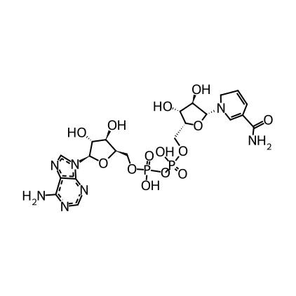 NC(=O)C1=CN([C@@H]2O[C@H](COP(=O)(O)OP(=O)(O)OC[C@H]3O[C@@H](n4cnc5c(N)ncnc54)[C@H](O)[C@H]3O)[C@H](O)[C@H]2O)CC=C1